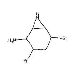 CCC1CC(C(C)C)C(N)C2NC12